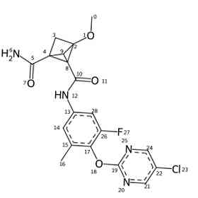 COC12CC(C(N)=O)(C1)C2C(=O)Nc1cc(C)c(Oc2ncc(Cl)cn2)c(F)c1